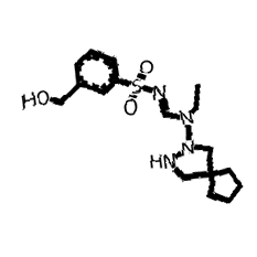 CCN(C=NS(=O)(=O)c1cccc(CO)c1)N1CC2(CCCC2)CN1